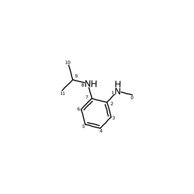 CNc1ccccc1NC(C)C